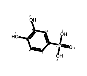 O=P(O)(O)c1ccc(O)c(O)c1